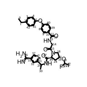 CCc1ccc(Oc2ccc(C(=O)NCC(=O)N3C[C@H](OC(F)F)C[C@H]3C(=O)NC(C)c3cc(C(=N)N)cs3)cc2)cc1